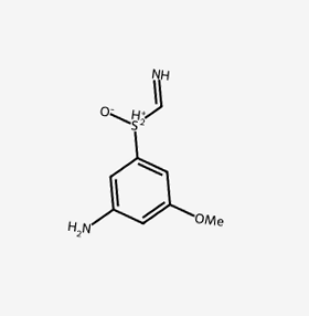 COc1cc(N)cc([SH2+]([O-])C=N)c1